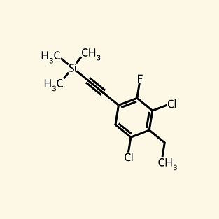 CCc1c(Cl)cc(C#C[Si](C)(C)C)c(F)c1Cl